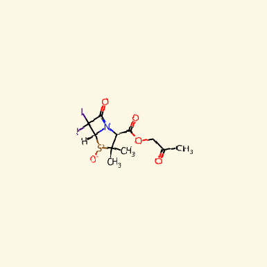 CC(=O)COC(=O)[C@@H]1N2C(=O)C(I)(I)[C@H]2[S+]([O-])C1(C)C